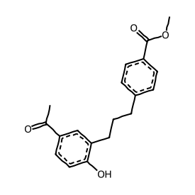 COC(=O)c1ccc(CCCc2cc(C(C)=O)ccc2O)cc1